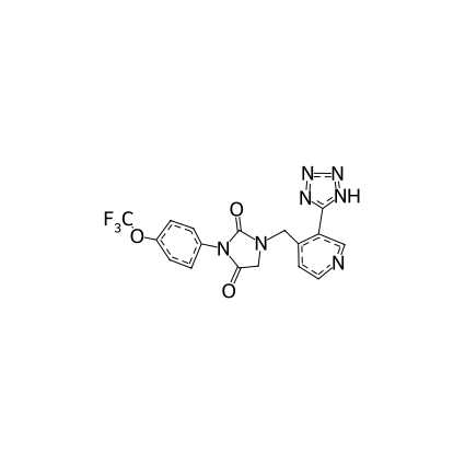 O=C1CN(Cc2ccncc2-c2nnn[nH]2)C(=O)N1c1ccc(OC(F)(F)F)cc1